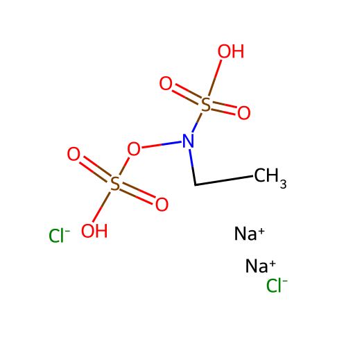 CCN(OS(=O)(=O)O)S(=O)(=O)O.[Cl-].[Cl-].[Na+].[Na+]